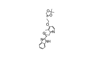 Cc1c(OCC[C@@H]2COC(C)(C)O2)ccnc1C[S+]([O-])c1nc2ccccc2[nH]1